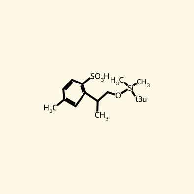 Cc1ccc(S(=O)(=O)O)c(C(C)CO[Si](C)(C)C(C)(C)C)c1